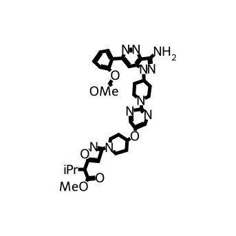 COCOc1ccccc1-c1cc2c(nn1)c(N)nn2C1CCN(c2ncc(OC3CCN(c4cc(C(C(=O)OC)C(C)C)on4)CC3)cn2)CC1